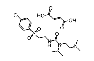 CC(C)N(CCN(C)C)C(=O)NCCS(=O)(=O)c1ccc(Cl)cc1.O=C(O)C=CC(=O)O